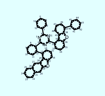 c1ccc(-c2nc(-c3ccccc3-c3cccc4oc5cc6ccccc6cc5c34)nc(-c3cccc4oc5c(-c6ccccc6)cccc5c34)n2)cc1